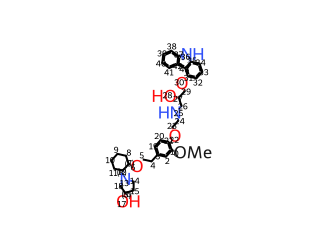 COc1cc(CCO[C@H]2CCCC[C@H]2N2CC[C@H](O)C2)ccc1OCCNCC(O)COc1cccc2[nH]c3ccccc3c12